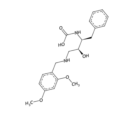 COc1ccc(CNC[C@H](O)[C@H](Cc2ccccc2)NC(=O)O)c(OC)c1